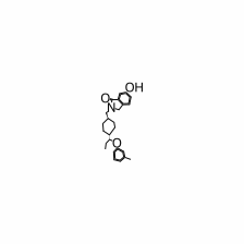 CCC(Oc1cccc(C)c1)[C@H]1CC[C@H](CN2Cc3ccc(O)cc3C2=O)CC1